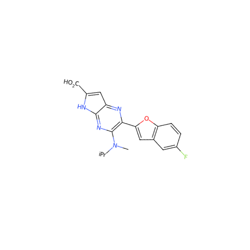 CC(C)N(C)c1nc2[nH]c(C(=O)O)cc2nc1-c1cc2cc(F)ccc2o1